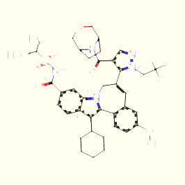 COc1ccc2c(c1)C=C(c1c(C(=O)N3C4CCC3COC4)cnn1CC(F)(F)F)Cn1c-2c(C2CCCCC2)c2ccc(C(=O)NS(=O)(=O)C(C)C)cc21